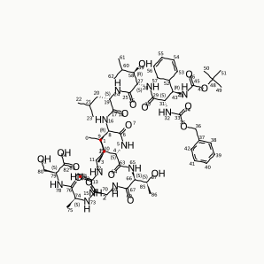 CC[C@H](C)[C@H](NC(=O)[C@@H](CCCNC(=N)N)NC(=O)[C@H](CC(C)C)NC(=O)[C@@H](NC(=O)[C@@H](NC(=O)OCc1ccccc1)[C@H](NC(=O)OC(C)(C)C)C1C=CC=CC1)[C@H](O)C(C)C)C(=O)N[C@H](C(=O)NCC(=O)N[C@@H](C)C(=O)N[C@@H](CO)C(=O)O)[C@H](C)O